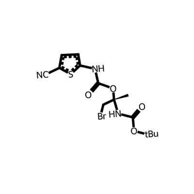 CC(C)(C)OC(=O)N[C@](C)(CBr)OC(=O)Nc1ccc(C#N)s1